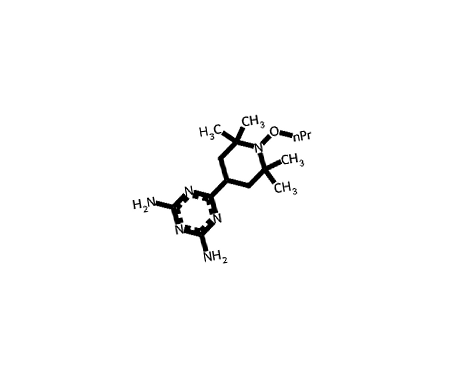 CCCON1C(C)(C)CC(c2nc(N)nc(N)n2)CC1(C)C